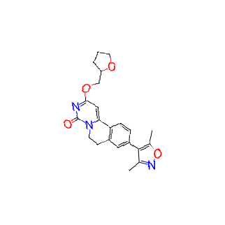 Cc1noc(C)c1-c1ccc2c(c1)CCn1c-2cc(OCC2CCCO2)nc1=O